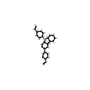 C=Cc1ccc(-c2ccc3c(c2)c2ccccc2n3-c2ccc(C=C)cc2)cc1